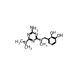 CN(C)c1nc(N)nc(N(C)Cc2cccc(O)c2O)n1